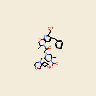 C[C@@H]1CN(CC(=O)N2c3cc(Cc4ccc(F)cc4)c(CO)nc3OC[C@@H]2C)[C@@H](CN2CCOCC23CCC3)CN1C(=O)O